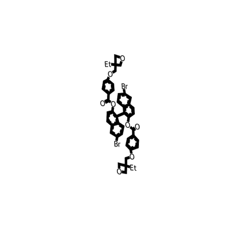 CCC1(COc2ccc(C(=O)Oc3ccc4cc(Br)ccc4c3-c3c(OC(=O)c4ccc(OCC5(CC)COC5)cc4)ccc4cc(Br)ccc34)cc2)COC1